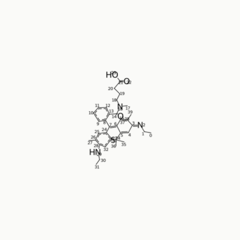 CC/N=C1\C=C2C(=C(c3ccccc3C(=O)N(C)CCCC(=O)O)c3cc(C)c(NCC)cc3[Si]2(C)C)C=C1C